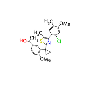 COc1cc(Cl)c(-c2nc(C3(c4cc(C(C)O)ccc4OC)CC3)sc2C)cc1C